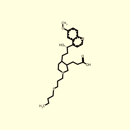 CCCCSCCCN1CCC(CC[C@H](O)c2ccnc3ccc(OC)cc23)C(CCC(=O)O)C1